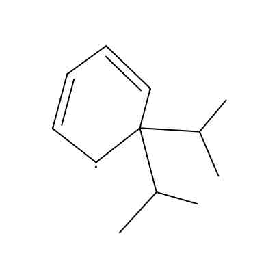 CC(C)C1(C(C)C)[CH]C=CC=C1